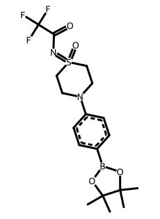 CC1(C)OB(c2ccc(N3CCS(=O)(=NC(=O)C(F)(F)F)CC3)cc2)OC1(C)C